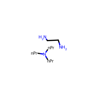 CCCN(CCC)CCC.NCCN